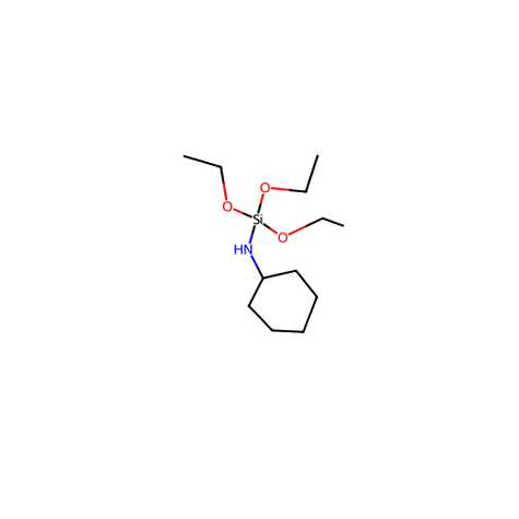 CCO[Si](NC1CCCCC1)(OCC)OCC